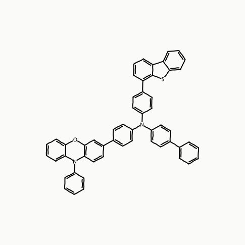 c1ccc(-c2ccc(N(c3ccc(-c4ccc5c(c4)Oc4ccccc4N5c4ccccc4)cc3)c3ccc(-c4cccc5c4sc4ccccc45)cc3)cc2)cc1